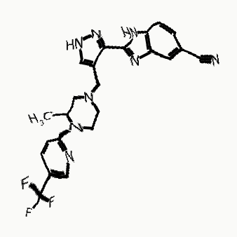 CC1CN(Cc2c[nH]nc2-c2nc3cc(C#N)ccc3[nH]2)CCN1c1ccc(C(F)(F)F)cn1